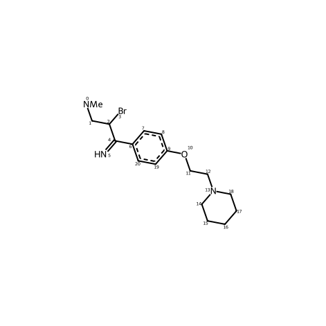 CNCC(Br)C(=N)c1ccc(OCCN2CCCCC2)cc1